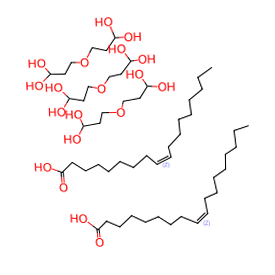 CCCCCCCC/C=C\CCCCCCCC(=O)O.CCCCCCCC/C=C\CCCCCCCC(=O)O.OC(O)CCOCCC(O)O.OC(O)CCOCCC(O)O.OC(O)CCOCCC(O)O